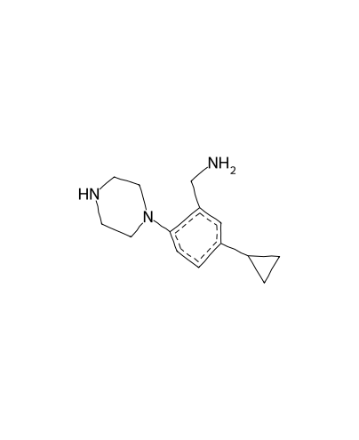 NCc1cc(C2CC2)ccc1N1CCNCC1